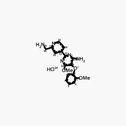 COc1ccccc1Oc1c(N)nc(-c2ccnc(CN)c2)nc1OC.Cl